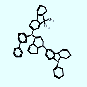 CC1(C)C2=CC(N(C3=CCC(c4ccc5c(c4)C4C=CCCC4N5C4=CC=CCC4)C4CCC=CC34)c3cccc(-c4ccccc4)c3)=CCC2C2=C1CCC=C2